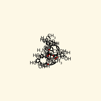 CN[C@H](CC(C)C)C(=O)N[C@H]1C(=O)N[C@@H](CC(N)=O)C(=O)N[C@H]2C(=N)N[C@H]3C(=O)N[C@H](C(=O)N[C@H](CO)c4cc(O)cc(O)c4-c4cc3ccc4O)[C@H](O)c3ccc(c(Cl)c3)Oc3cc2cc(c3O[C@@H]2OC(CO)C(O)[C@H](O)[C@H]2O[C@H]2CC(C)(NCc3ccc(-c4ccc(Cl)cc4)cc3)[C@H](O)[C@H](C)O2)Oc2ccc(cc2Cl)[C@H]1O